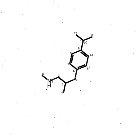 CNCC(C)Cc1ccc(C(C)C)cc1